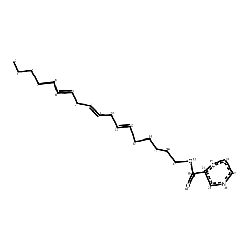 CCCCCC=CCC=CCC=CCCCCCOC(=O)c1cccnc1